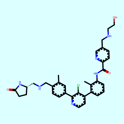 Cc1cc(-c2nccc(-c3cccc(NC(=O)c4ccc(CNCCO)cn4)c3C)c2Cl)ccc1CNC[C@@H]1CCC(=O)N1